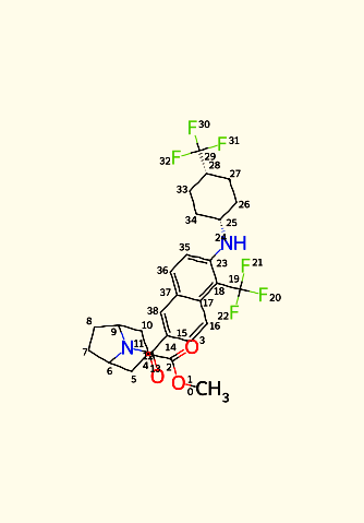 COC(=O)C1CC2CCC(C1)N2C(=O)c1ccc2c(C(F)(F)F)c(N[C@H]3CC[C@@H](C(F)(F)F)CC3)ccc2c1